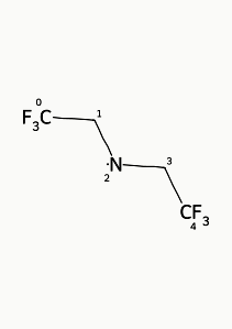 FC(F)(F)C[N]CC(F)(F)F